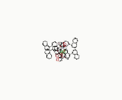 C[SiH]1[C]2(C(c3ccco3)=Cc3c(-c4cccc5ccccc45)cccc32)[Hf]2([Cl])([Cl])([C]13C(c1ccco1)=Cc1c(-c4cccc5ccccc45)cccc13)[C]1(C(c3ccco3)=Cc3c(-c4cccc5ccccc45)cccc31)[SiH](C)[C]21C(c2ccco2)=Cc2c(-c3cccc4ccccc34)cccc21